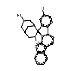 CCC1CC2CC(C)C3(c4cc(Cl)ccc4-c4ccc5c(oc6ccccc65)c43)C(C1)C2